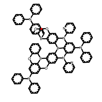 c1ccc(N(c2ccccc2)c2cc3c4c(c2)Oc2cc5c(cc2B4c2ccccc2O3)B2c3cc4c(cc3N(c3ccccn3)c3cc(N(c6ccccc6)c6ccccc6)cc(c32)N5c2ccccn2)Oc2cc(N(c3ccccc3)c3ccccc3)cc3c2B4c2ccccc2O3)cc1